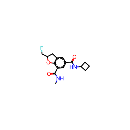 CNC(=O)c1cc(C(=O)NC2CCC2)cc2c1OC(CF)C2